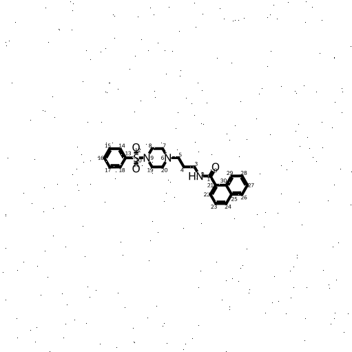 O=C(NCCCN1CCN(S(=O)(=O)c2ccccc2)CC1)c1cccc2ccccc12